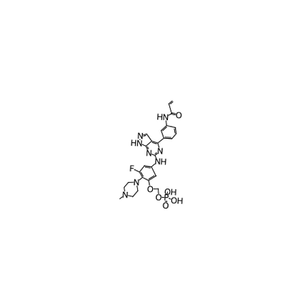 C=CC(=O)Nc1cccc(-c2nc(Nc3cc(F)c(N4CCN(C)CC4)c(OCOP(=O)(O)O)c3)nc3[nH]ncc23)c1